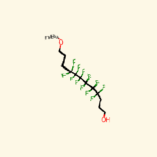 CCCCOCCCC(F)(F)C(F)(F)C(F)(F)C(F)(F)C(F)(F)C(F)(F)CCCO